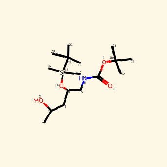 CC(O)CC(CNC(=O)OC(C)(C)C)O[Si](C)(C)C(C)(C)C